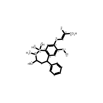 CCCCC1CC(c2ccccc2)c2cc(SCC)c(O/C=C(\F)C(=O)O)cc2S(O)(O)N1C